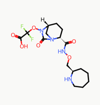 O=C(NOC[C@H]1CCCCCN1)[C@H]1CC[C@@H]2CN1C(=O)N2OC(F)(F)C(=O)O